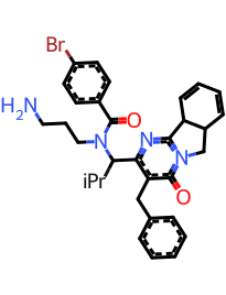 CC(C)C(c1nc2n(c(=O)c1Cc1ccccc1)CC1C=CC=CC21)N(CCCN)C(=O)c1ccc(Br)cc1